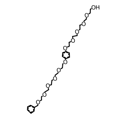 OCCOCCOCCOCCOCCOc1ccc(OCCOCCOCCOCCOCCOCc2ccccc2)cc1